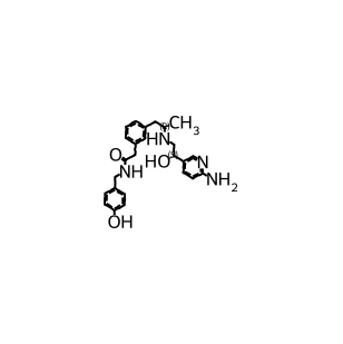 C[C@H](Cc1cccc(CC(=O)NCc2ccc(O)cc2)c1)NC[C@@H](O)c1ccc(N)nc1